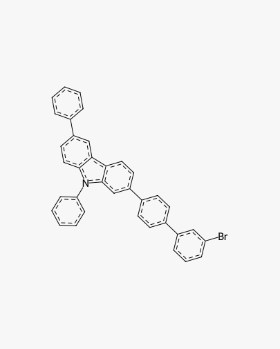 Brc1cccc(-c2ccc(-c3ccc4c5cc(-c6ccccc6)ccc5n(-c5ccccc5)c4c3)cc2)c1